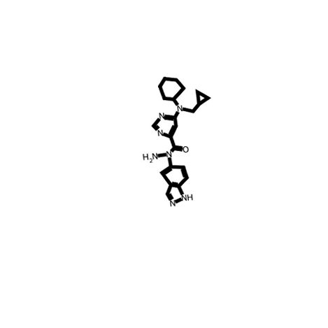 NN(C(=O)c1cc(N(CC2CC2)C2CCCCC2)ncn1)c1ccc2[nH]ncc2c1